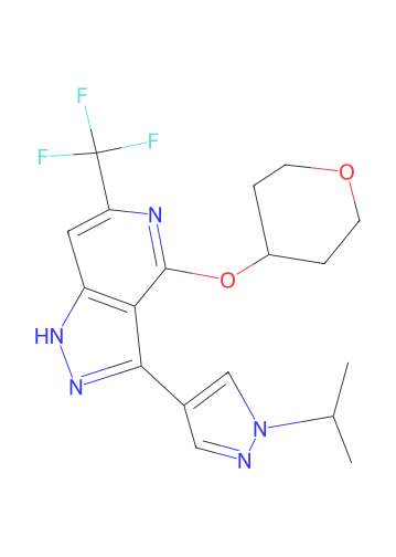 CC(C)n1cc(-c2n[nH]c3cc(C(F)(F)F)nc(OC4CCOCC4)c23)cn1